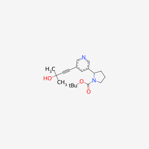 CC(C)(O)C#Cc1cncc(C2CCCN2C(=O)OC(C)(C)C)c1